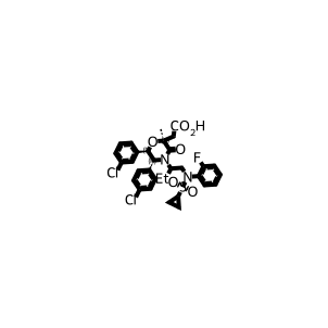 CCC(CN(c1ccccc1F)S(=O)(=O)C1CC1)N1C(=O)[C@](C)(CC(=O)O)O[C@H](c2cccc(Cl)c2)[C@H]1c1ccc(Cl)cc1